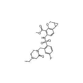 CCN1CCN(Cc2cc(F)ccc2S(=O)(=O)Nc2ccc3c(c2C(=O)OC)OCC2CC32)C(=O)C1